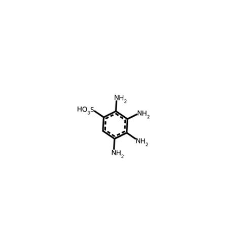 Nc1cc(S(=O)(=O)O)c(N)c(N)c1N